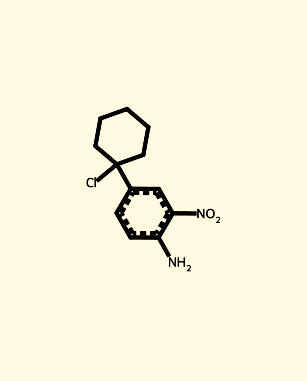 Nc1ccc(C2(Cl)CCCCC2)cc1[N+](=O)[O-]